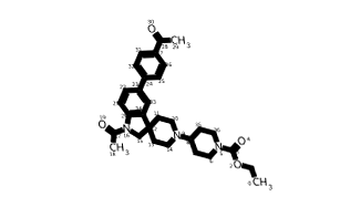 CCOC(=O)N1CCC(N2CCC3(CC2)CN(C(C)=O)c2ccc(-c4ccc(C(C)=O)cc4)cc23)CC1